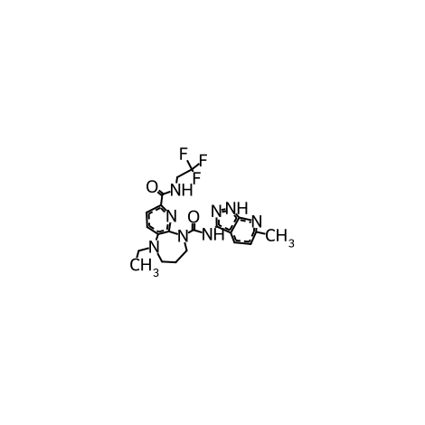 CCN1CCCN(C(=O)Nc2n[nH]c3nc(C)ccc23)c2nc(C(=O)NCC(F)(F)F)ccc21